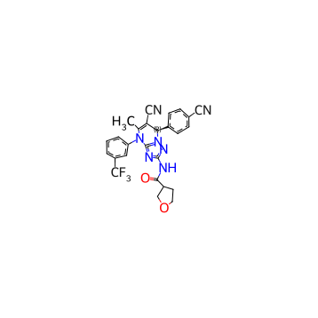 CC1=C(C#N)[C@@H](c2ccc(C#N)cc2)n2nc(NC(=O)C3CCOC3)nc2N1c1cccc(C(F)(F)F)c1